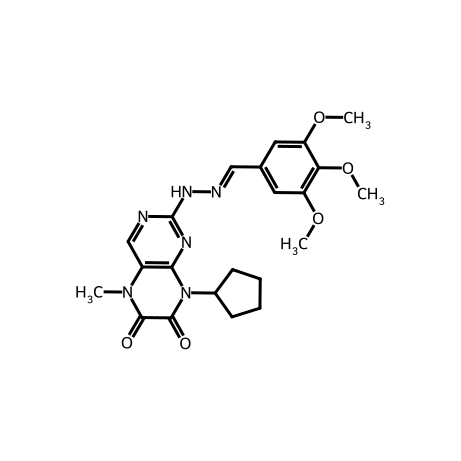 COc1cc(C=NNc2ncc3c(n2)n(C2CCCC2)c(=O)c(=O)n3C)cc(OC)c1OC